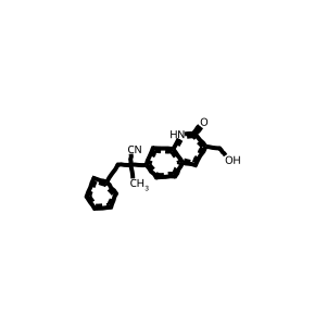 CC(C#N)(Cc1ccccc1)c1ccc2cc(CO)c(=O)[nH]c2c1